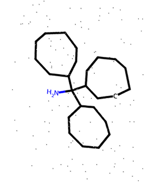 NC(C1CCCCCCC1)(C1CCCCCCC1)C1CCCCCCC1